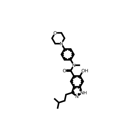 CC(C)CCc1n[nH]c2cc(O)c(C(=O)N(C)c3ccc(N4CCOCC4)cc3)cc12